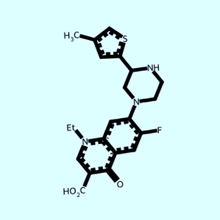 CCn1cc(C(=O)O)c(=O)c2cc(F)c(N3CCNC(c4cc(C)cs4)C3)cc21